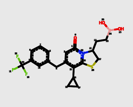 O=c1cc(Cc2cccc(C(F)(F)F)c2)c(C2CC2)c2n1C(CCB(O)O)CS2